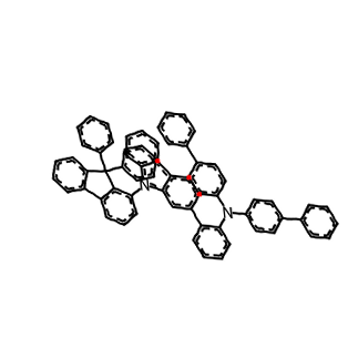 c1ccc(-c2ccc(N(c3ccc(-c4ccccc4)cc3)c3ccccc3-c3ccc4c5ccccc5n(-c5cccc6c5C(c5ccccc5)(c5ccccc5)c5ccccc5-6)c4c3)cc2)cc1